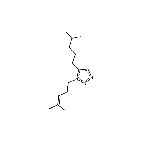 CC(C)=CCCn1nncc1CCCC(C)C